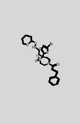 O=C(CC1(c2ccc(Br)s2)CCN(C(=O)C=Cc2ccccc2)CCS1(=O)=O)NOC1CCCCO1